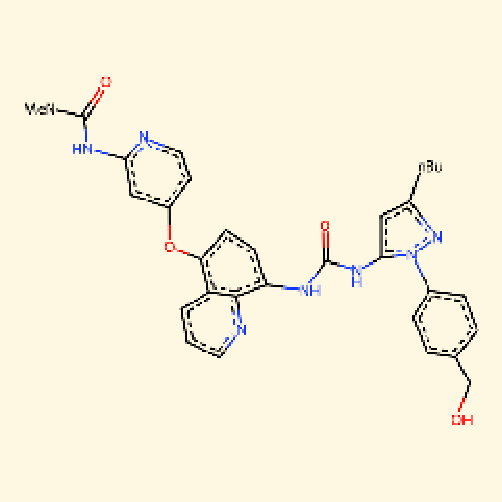 CCCCc1cc(NC(=O)Nc2ccc(Oc3ccnc(NC(=O)NC)c3)c3cccnc23)n(-c2ccc(CO)cc2)n1